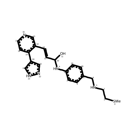 CSCCNCc1ccc(NC(O)/C=C/c2cnccc2-c2cn[nH]c2)cc1